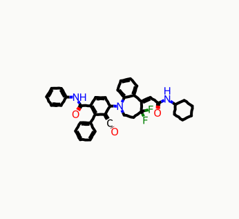 O=C=C1C(c2ccccc2)=C(C(=O)Nc2ccccc2)C=CC1N1CCC(F)(F)C(=CC(=O)NC2CCCCC2)c2ccccc21